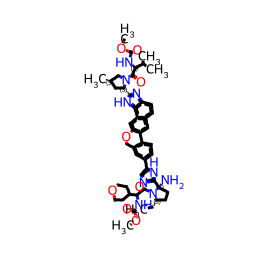 CC[C@H]1CC[C@@](N)(c2ncc(-c3ccc4c(c3)COc3cc5c(ccc6nc([C@@H]7C[C@H](C)CN7C(=O)[C@@H](NC(=O)OC)C(C)C)[nH]c65)cc3-4)[nH]2)N1C(=O)C(NC(=O)OC)C1CCOCC1